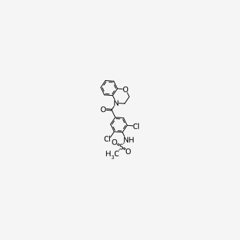 CS(=O)(=O)Nc1c(Cl)cc(C(=O)N2CCOc3ccccc32)cc1Cl